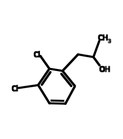 CC(O)Cc1cccc(Cl)c1Cl